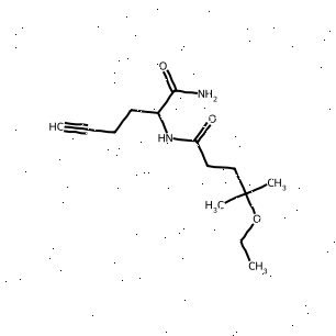 C#CCCC(NC(=O)CCC(C)(C)OCC)C(N)=O